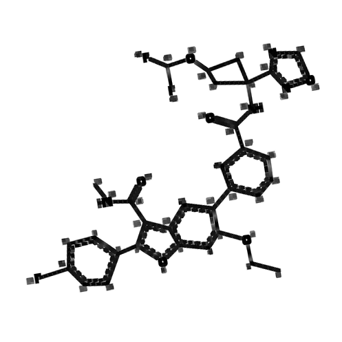 CCOc1cc2oc(-c3ccc(F)cc3)c(C(=O)NC)c2cc1-c1cccc(C(=O)NC2(c3ncon3)CC(OC(F)F)C2)c1